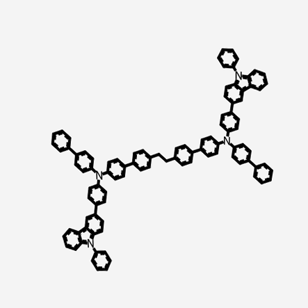 c1ccc(-c2ccc(N(c3ccc(-c4ccc(CCc5ccc(-c6ccc(N(c7ccc(-c8ccccc8)cc7)c7ccc(-c8ccc9c(c8)c8ccccc8n9-c8ccccc8)cc7)cc6)cc5)cc4)cc3)c3ccc(-c4ccc5c(c4)c4ccccc4n5-c4ccccc4)cc3)cc2)cc1